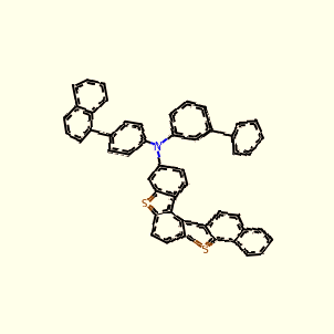 c1ccc(-c2cccc(N(c3ccc(-c4cccc5ccccc45)cc3)c3ccc4c(c3)sc3ccc5sc6c7ccccc7ccc6c5c34)c2)cc1